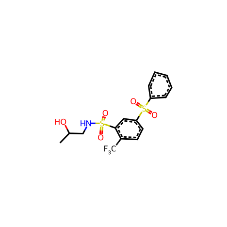 CC(O)CNS(=O)(=O)c1cc(S(=O)(=O)c2ccccc2)ccc1C(F)(F)F